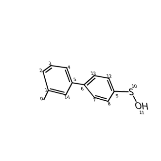 Cc1cccc(-c2ccc(SO)cc2)c1